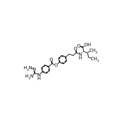 CC[C@H](C)[C@H](NC(=O)CCc1ccc(OC(=O)c2ccc(NC(N)=NN)cc2)cc1)C(=O)O